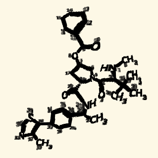 CN[C@H](C(=O)N1CC(OC(=O)c2ccccc2)C[C@H]1C(=O)N[C@@H](C)c1ccc(-c2scnc2C)cc1)C(C)(C)C